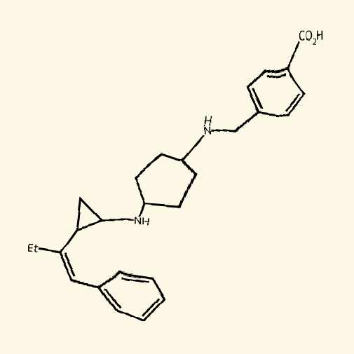 CCC(=Cc1ccccc1)C1CC1NC1CCC(NCc2ccc(C(=O)O)cc2)CC1